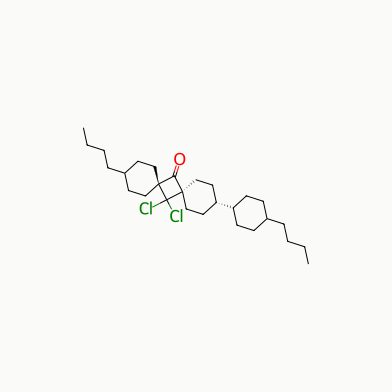 CCCCC1CCC([C@H]2CC[C@@]3(CC2)C(=O)[C@]2(CCC(CCCC)CC2)C3(Cl)Cl)CC1